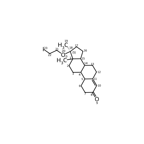 CC12CCC3C4CCC(=O)C=C4CCC3C1CC[C@]2(C)OCCI